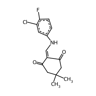 CC1(C)CC(=O)C(=CNc2ccc(F)c(Cl)c2)C(=O)C1